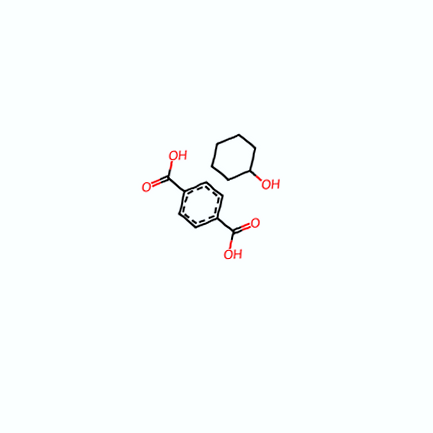 O=C(O)c1ccc(C(=O)O)cc1.OC1CCCCC1